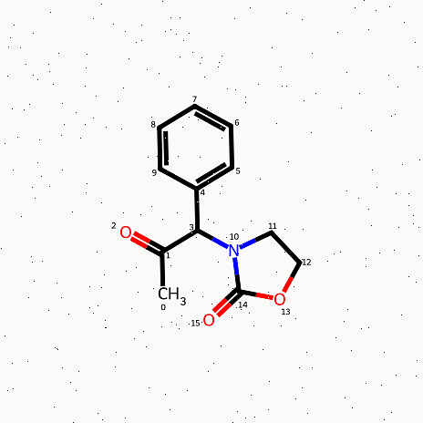 CC(=O)C(c1ccccc1)N1CCOC1=O